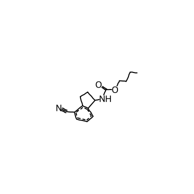 CCCCOC(=O)NC1CCc2c(C#N)cccc21